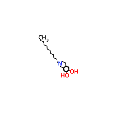 CCCCCCCCCCCCN1CCc2cc(O)c(O)cc2C1